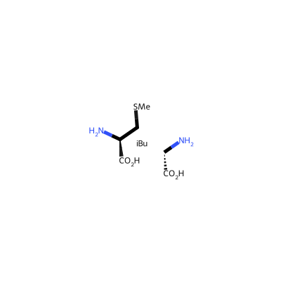 CC[C@H](C)[C@H](N)C(=O)O.CSC[C@H](N)C(=O)O